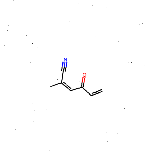 C=CC(=O)C=C(C)C#N